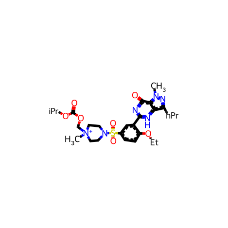 CCCc1nn(C)c2c(=O)nc(-c3cc(S(=O)(=O)N4CC[N+](C)(COC(=O)OC(C)C)CC4)ccc3OCC)[nH]c12